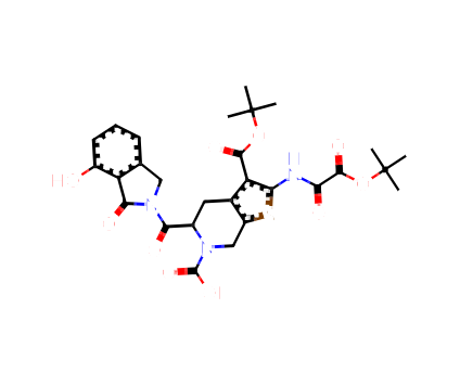 CC(C)(C)OC(=O)C(=O)Nc1sc2c(c1C(=O)OC(C)(C)C)CC(C(=O)N1Cc3cccc(O)c3C1=O)N(C(=O)O)C2